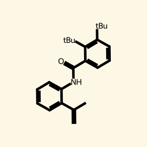 C=C(C)c1ccccc1NC(=O)c1cccc(C(C)(C)C)c1C(C)(C)C